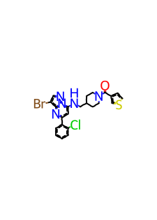 O=C(c1ccsc1)N1CCC(CNc2cc(-c3ccccc3Cl)nc3c(Br)cnn23)CC1